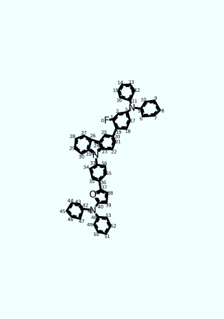 Fc1cc(N(c2ccccc2)c2ccccc2)ccc1-c1ccc2c(c1)c1ccccc1n2-c1ccc(-c2ccc(N(c3ccccc3)c3ccccc3)o2)cc1